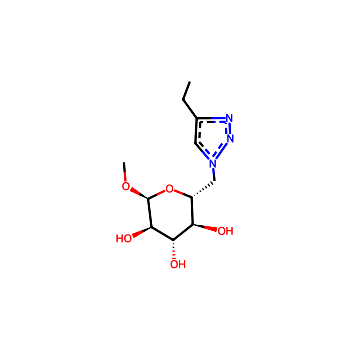 CCc1cn(C[C@H]2O[C@H](OC)[C@H](O)[C@@H](O)[C@@H]2O)nn1